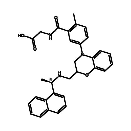 Cc1ccc(N2CC(CN[C@H](C)c3cccc4ccccc34)Oc3ccccc32)cc1C(=O)NCC(=O)O